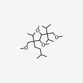 COCC(CCC(C)C)(C(C)C)C(OC)C(OC)C(COC)(C(C)C)C(C)C